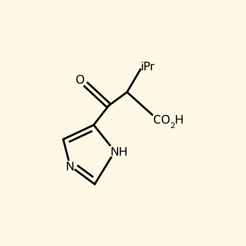 CC(C)C(C(=O)O)C(=O)c1cnc[nH]1